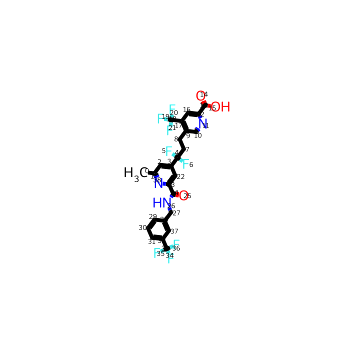 Cc1cc(C(F)(F)CCc2cnc(C(=O)O)cc2C(F)(F)F)cc(C(=O)NCc2cccc(C(F)(F)F)c2)n1